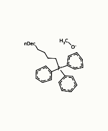 CCCCCCCCCCCCCC[P+](c1ccccc1)(c1ccccc1)c1ccccc1.C[O-]